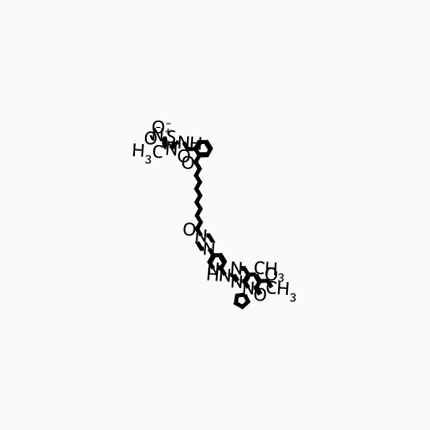 CC(=O)c1c(C)c2cnc(Nc3ccc(N4CCN(C(=O)CCCCCCCCCC(=O)c5ccccc5C(=O)Nc5nc(C)c([N+](=O)[O-])s5)CC4)cn3)nc2n(C2CCCC2)c1=O